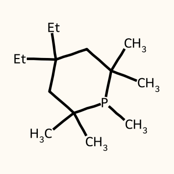 CCC1(CC)CC(C)(C)P(C)C(C)(C)C1